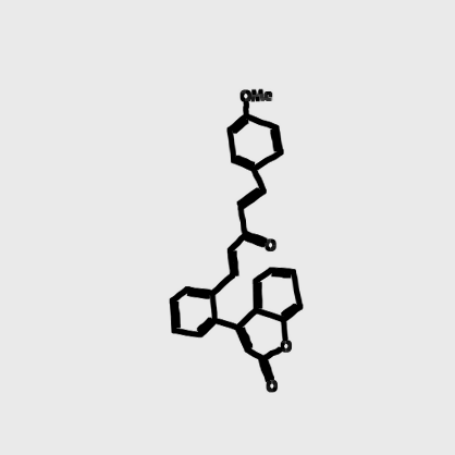 COc1ccc(C=CC(=O)C=Cc2ccccc2-c2cc(=O)oc3ccccc23)cc1